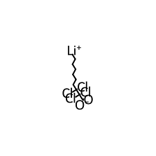 CCCCCCCC(Cl)(Cl)C(Cl)(Cl)C(=O)[O-].[Li+]